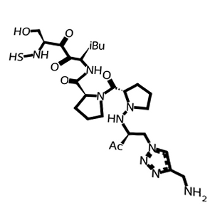 CC[C@H](C)C(NC(=O)[C@@H]1CCCN1C(=O)[C@@H]1CCCN1N[C@@H](Cn1cc(CN)nn1)C(C)=O)C(=O)C(=O)[C@H](CO)NS